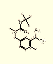 Cc1ccc(CN(C)C(=O)OC(C)(C)C)cc1C(O)O